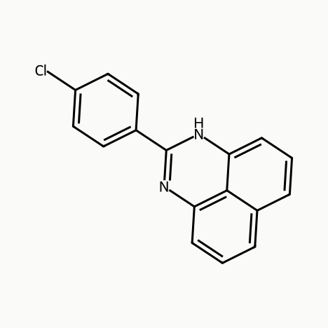 Clc1ccc(C2=Nc3cccc4cccc(c34)N2)cc1